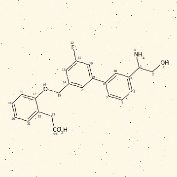 NC(CO)c1cccc(-c2cc(F)cc(COc3ccccc3CC(=O)O)c2)c1